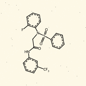 O=C(CN(c1ccccc1F)S(=O)(=O)c1ccccc1)Nc1cccc(C(F)(F)F)c1